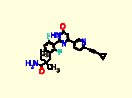 CC(C)(Cc1ccc(F)c(-c2nc(-c3ccc(C#CC4CC4)nc3)cc(=O)[nH]2)c1F)C(N)=O